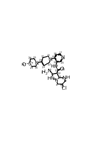 NC1NN2CC(Cl)CNC2C1C(=O)Nc1cnccc1N1CCC(N2CC[S+]([O-])CC2)CC1